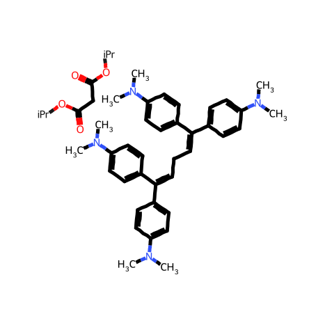 CC(C)OC(=O)CC(=O)OC(C)C.CN(C)c1ccc(C(=CCC=C(c2ccc(N(C)C)cc2)c2ccc(N(C)C)cc2)c2ccc(N(C)C)cc2)cc1